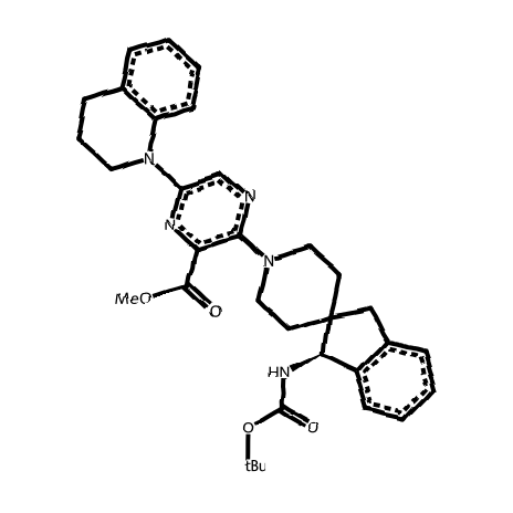 COC(=O)c1nc(N2CCCc3ccccc32)cnc1N1CCC2(CC1)Cc1ccccc1[C@H]2NC(=O)OC(C)(C)C